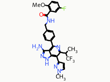 COc1ccc(F)cc1C(=O)NCc1ccc(-c2nc(C(C)C(F)(F)F)c(-c3ccn(C)n3)c3[nH]nc(N)c23)cc1